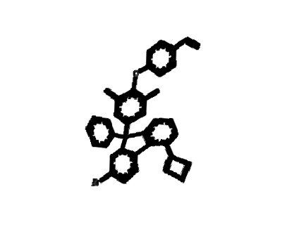 C=Cc1ccc(Oc2c(C)cc(C3(c4ccccc4)c4cc(Br)ccc4-c4c(C5CCC5)cccc43)cc2C)cc1